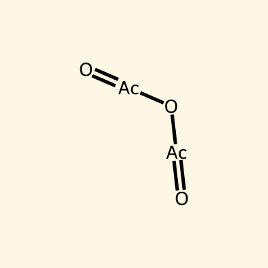 [O]=[Ac][O][Ac]=[O]